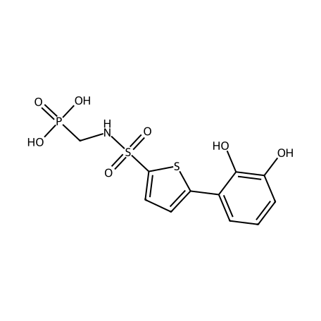 O=P(O)(O)CNS(=O)(=O)c1ccc(-c2cccc(O)c2O)s1